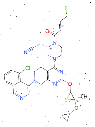 C[C@]1(OC2CC2)SC1Oc1nc2c(c(N3CCN(C(=O)/C=C/CF)[C@@H](CC#N)C3)n1)CCN(c1cncc3cccc(Cl)c13)C2